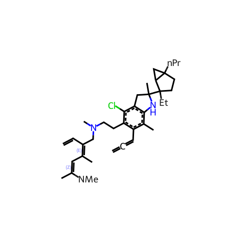 C=C=Cc1c(C)c2c(c(Cl)c1CCN(C)C/C(C=C)=C(C)/C=C(/C)NC)CC(C)(C1(CC)CCC3(CCC)CC31)N2